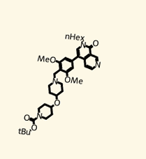 CCCCCCn1cc(-c2cc(OC)c(CN3CCC(OC4CCN(C(=O)OC(C)(C)C)CC4)CC3)c(OC)c2)c2ccncc2c1=O